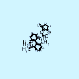 Cc1cccc(NC(=O)ON2C(=O)CCC2=O)c1-c1c(C)cccc1N(C)C